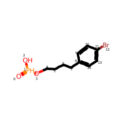 O=[PH](O)OCCCCc1ccc(Br)cc1